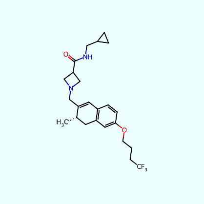 C[C@H]1Cc2cc(OCCCC(F)(F)F)ccc2C=C1CN1CC(C(=O)NCC2CC2)C1